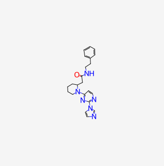 O=C(CC1CCCCN1c1ccnc(-n2ccnc2)n1)NCCc1ccccc1